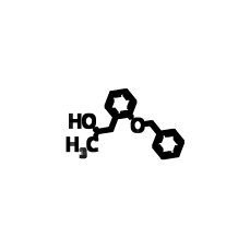 C[C@@H](O)Cc1ccccc1OCc1ccccc1